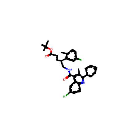 Cc1ccc(F)cc1C(CCC(=O)OC(C)(C)C)CNC(=O)c1c(C)c(-c2ccccc2)nc2ccc(Br)cc12